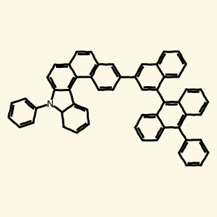 C1=CCC2C(=C1)c1c(ccc3ccc4cc(-c5cc(-c6c7ccccc7c(-c7ccccc7)c7ccccc67)c6ccccc6c5)ccc4c13)N2c1ccccc1